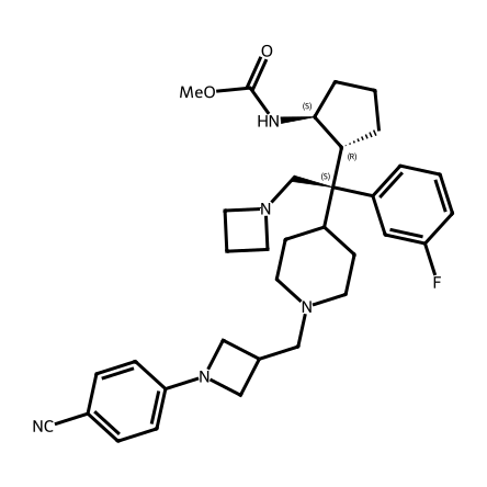 COC(=O)N[C@H]1CCC[C@@H]1[C@](CN1CCC1)(c1cccc(F)c1)C1CCN(CC2CN(c3ccc(C#N)cc3)C2)CC1